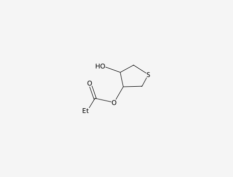 CCC(=O)OC1CSCC1O